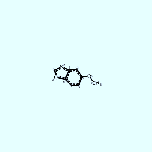 COc1ccc2o[c]nc2c1